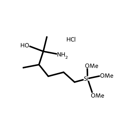 CO[Si](CCCC(C)C(C)(N)O)(OC)OC.Cl